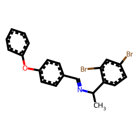 CC(N=Cc1ccc(Oc2ccccc2)cc1)c1ccc(Br)cc1Br